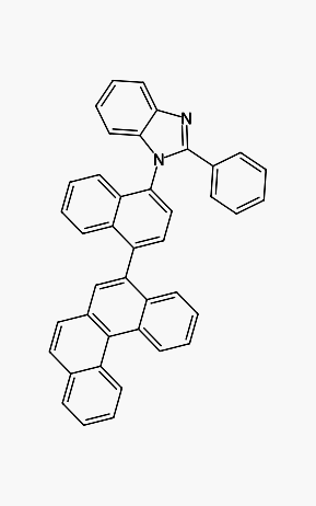 c1ccc(-c2nc3ccccc3n2-c2ccc(-c3cc4ccc5ccccc5c4c4ccccc34)c3ccccc23)cc1